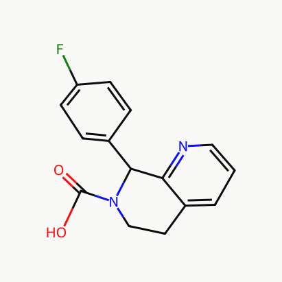 O=C(O)N1CCc2cccnc2C1c1ccc(F)cc1